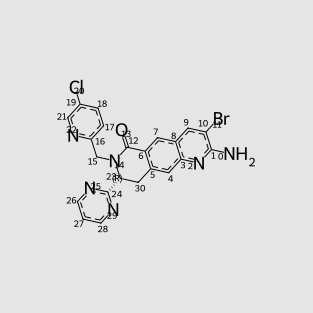 Nc1nc2cc3c(cc2cc1Br)C(=O)N(Cc1ccc(Cl)cn1)[C@@H](c1ncccn1)C3